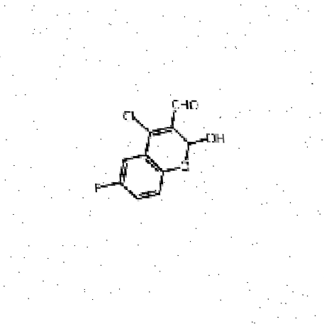 O=CC1=C(Cl)c2cc(F)ccc2OC1O